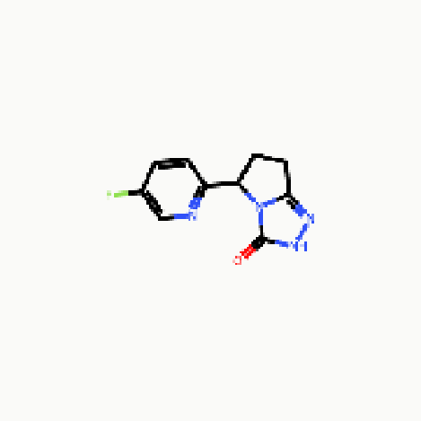 O=c1[nH]nc2n1C(c1ccc(F)cn1)CC2